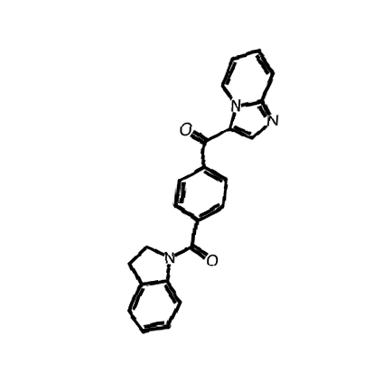 O=C(c1ccc(C(=O)N2CCc3ccccc32)cc1)c1cnc2ccccn12